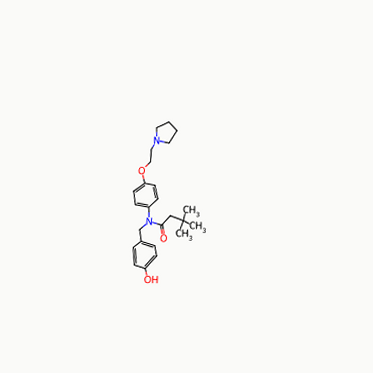 CC(C)(C)CC(=O)N(Cc1ccc(O)cc1)c1ccc(OCCN2CCCC2)cc1